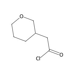 O=C(Cl)CC1CCCOC1